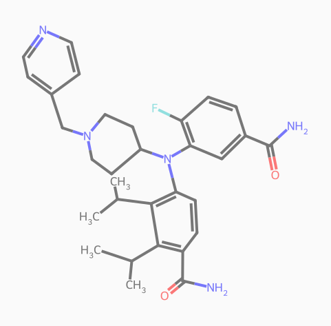 CC(C)c1c(C(N)=O)ccc(N(c2cc(C(N)=O)ccc2F)C2CCN(Cc3ccncc3)CC2)c1C(C)C